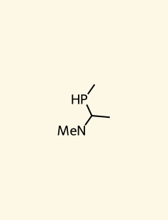 CNC(C)PC